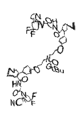 CC(C)(C)OC(=O)N(CCCOc1ccc(-c2cnccc2C(=O)NCC(=O)N2CC(F)(F)C[C@H]2C#N)cc1)CCCOc1ccc(-c2cnccc2C(=O)NCC(=O)N2CC(F)(F)C[C@H]2C#N)cc1